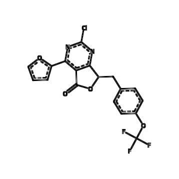 O=C1OC(Cc2ccc(OC(F)(F)F)cc2)c2nc(Cl)nc(-c3ccco3)c21